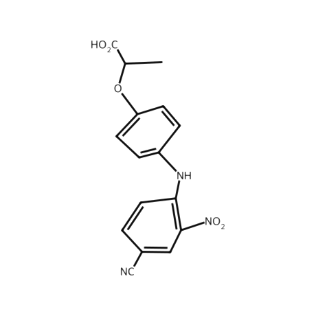 CC(Oc1ccc(Nc2ccc(C#N)cc2[N+](=O)[O-])cc1)C(=O)O